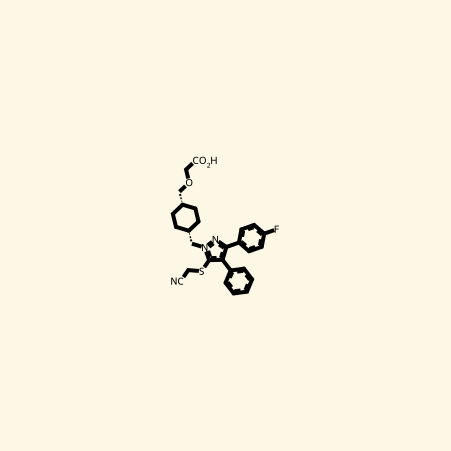 N#CCSc1c(-c2ccccc2)c(-c2ccc(F)cc2)nn1C[C@H]1CC[C@@H](COCC(=O)O)CC1